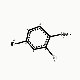 CCc1cc(C(C)C)ccc1NC